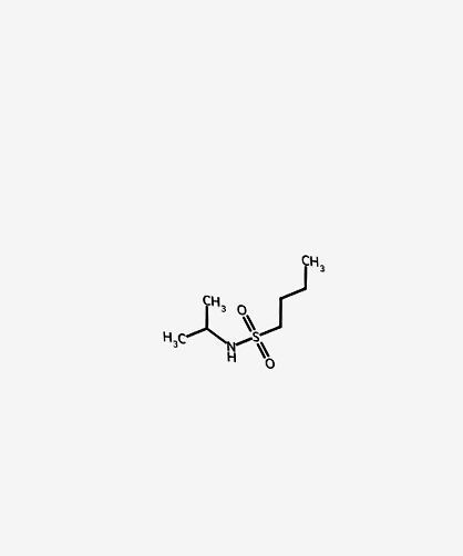 CCCCS(=O)(=O)NC(C)C